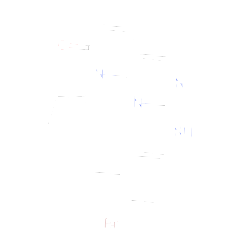 Cc1cc(Nc2ncc3ccc(=O)n(C4CCCC4)c3n2)ccc1Br